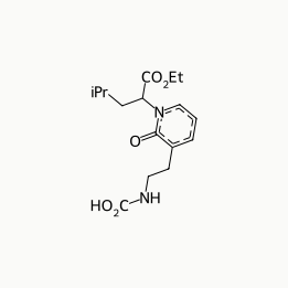 CCOC(=O)C(CC(C)C)n1cccc(CCNC(=O)O)c1=O